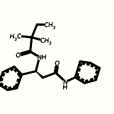 CCC(C)(C)C(=O)N[C@@H](CC(=O)Nc1ccccc1)c1ccccc1